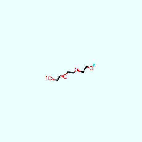 OCCOCCOCCOF